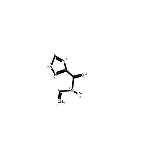 C=CN(C(=O)c1nc[nH]n1)C(C)C